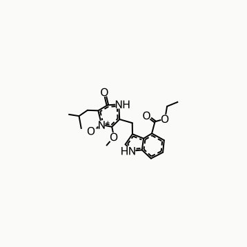 CCOC(=O)c1cccc2[nH]cc(Cc3[nH]c(=O)c(CC(C)C)[n+]([O-])c3OC)c12